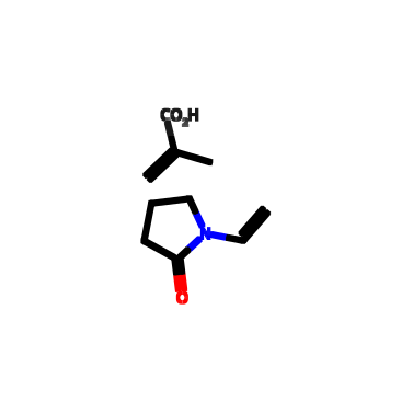 C=C(C)C(=O)O.C=CN1CCCC1=O